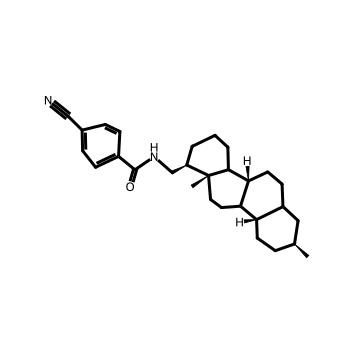 C[C@H]1CC[C@H]2C(CC[C@@H]3C2CC[C@@]2(C)C3CCC[C@@H]2CNC(=O)c2ccc(C#N)cc2)C1